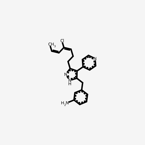 C/C=C\C(Cl)=C/CCc1n[nH]c(Cc2cccc(N)c2)c1-c1ccncc1